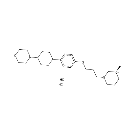 C[C@H]1CCCN(CCCOc2ccc(C3CCC(N4CCOCC4)CC3)cc2)C1.Cl.Cl